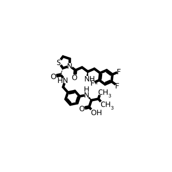 CC(C)[C@H](Nc1cccc(CNC(=O)[C@@H]2SCCN2C(=O)C[C@H](N)Cc2cc(F)c(F)cc2F)c1)C(=O)O